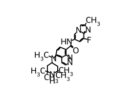 Cc1cn2cc(NC(=O)c3ccc(N(C)C4CC(C)(C)NC(C)(C)C4)c4ccnnc34)cc(F)c2n1